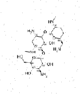 CN[C@@H]1CC[C@@H](CN)O[C@@H]1OC1[C@@H](N)C[C@@H](NC)[C@H](O[C@H]2O[C@H](CO)[C@@H](O)[C@H](N)[C@H]2O)[C@H]1O